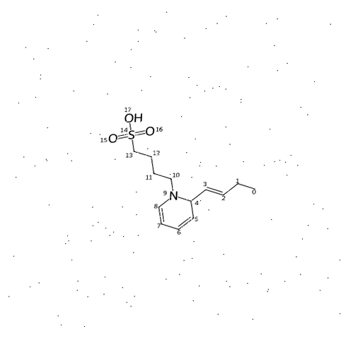 CCC=CC1C=CC=CN1CCCCS(=O)(=O)O